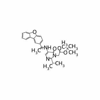 CC(C)c1ncc(N[C@H](C)c2ccc3oc4ccccc4c3c2)c(=O)n1CC(=O)OC(C)(C)C